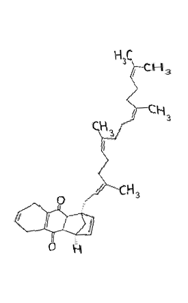 CC(C)=CCCC(C)=CCCC(C)=CCCC(C)=CC[C@]12C=C[C@H](C1)C1C(=O)C3=C(CC=CC3)C(=O)C12